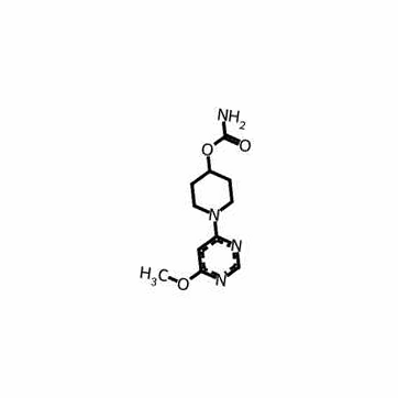 COc1cc(N2CCC(OC(N)=O)CC2)ncn1